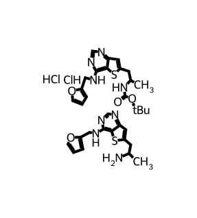 CC(Cc1cc2ncnc(NCc3ccco3)c2s1)NC(=O)OC(C)(C)C.CC(N)Cc1cc2ncnc(NCc3ccco3)c2s1.Cl.Cl